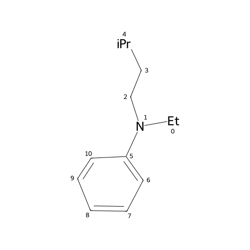 CCN(CCC(C)C)c1ccccc1